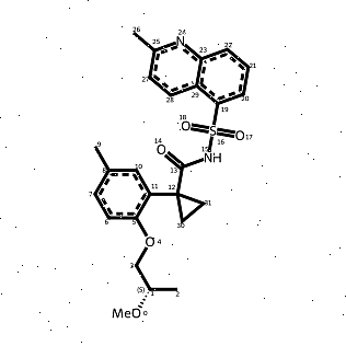 CO[C@@H](C)COc1ccc(C)cc1C1(C(=O)NS(=O)(=O)c2cccc3nc(C)ccc23)CC1